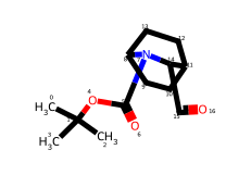 CC(C)(C)OC(=O)N1C2CCC(CC2)C1C=O